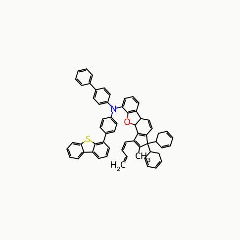 C=C/C=C\C1=C(C)C(C2C=CC=CC2)(C2C=CC=CC2)C2=C1C1Oc3c(cccc3N(c3ccc(-c4ccccc4)cc3)c3ccc(-c4cccc5c4sc4ccccc45)cc3)C1C=C2